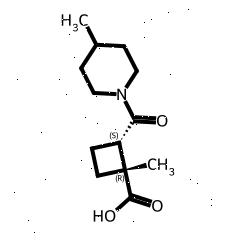 CC1CCN(C(=O)[C@H]2CC[C@@]2(C)C(=O)O)CC1